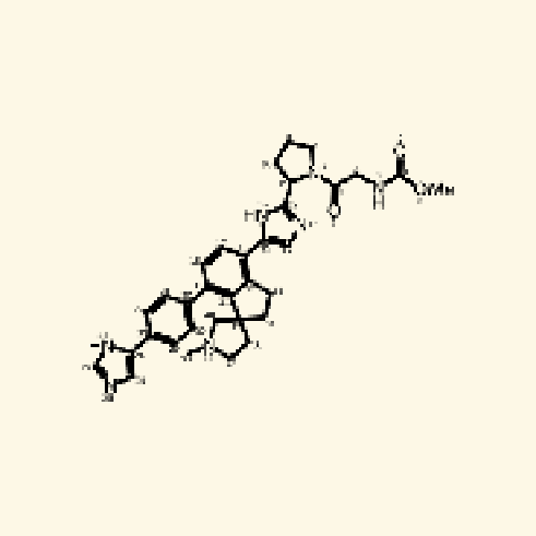 COC(=O)NCC(=O)N1CCCC1c1ncc(-c2ccc(-c3ccc(-c4cnc[nH]4)cc3)c3c2CCC32CCN(C)C2)[nH]1